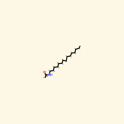 CCCCCCCCCCCCCCCNC(C)=O